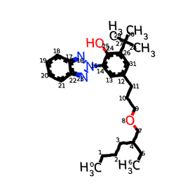 CCCCC(CC)COCCCc1cc(-n2nc3ccccc3n2)c(O)c(C(C)(C)C)c1